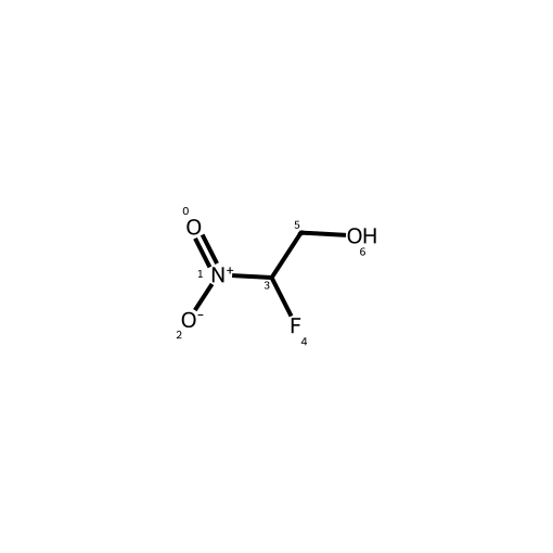 O=[N+]([O-])C(F)CO